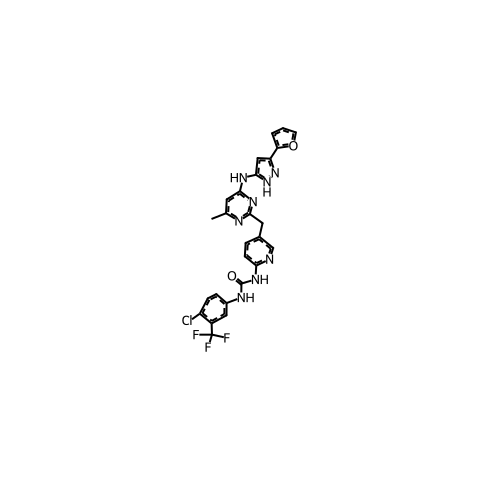 Cc1cc(Nc2cc(-c3ccco3)n[nH]2)nc(Cc2ccc(NC(=O)Nc3ccc(Cl)c(C(F)(F)F)c3)nc2)n1